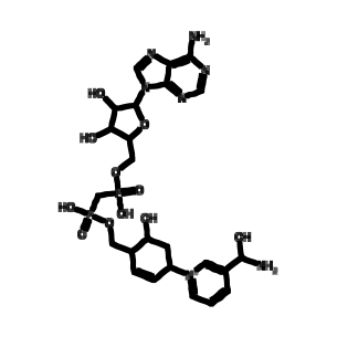 Nc1ncnc2c1ncn2C1OC(COP(=O)(O)CP(=O)(O)OCC2C=CC([n+]3cccc(C(N)O)c3)CC2O)C(O)C1O